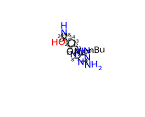 CCCCNc1nc(N)nc2cnn(Cc3ccc(C4(O)CNC4)cc3OC)c12